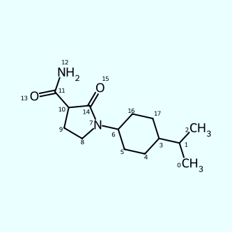 CC(C)C1CCC(N2CCC(C(N)=O)C2=O)CC1